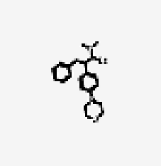 CCC(C(Cc1ccccc1)c1ccc(N2CCOCC2)cc1)N(C)C